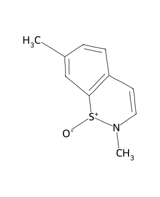 Cc1ccc2c(c1)[S+]([O-])N(C)C=C2